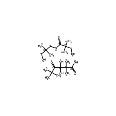 CC(C)(C)C(=O)C(O)(O)C(C)(C)C(=O)O.CC(C)(CO)COC(=O)C(C)(C)CO